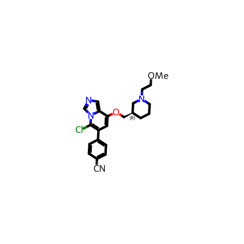 COCCN1CCC[C@@H](COc2cc(-c3ccc(C#N)cc3)c(Cl)n3cncc23)C1